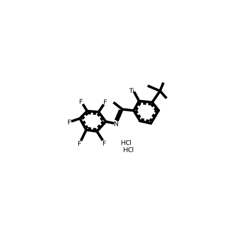 CC(=Nc1c(F)c(F)c(F)c(F)c1F)c1cccc(C(C)(C)C)[c]1[Ti].Cl.Cl